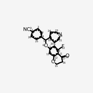 N#Cc1ccc(C(Oc2cc(F)c3c(c2)OCCC3=O)c2ccncc2)cc1